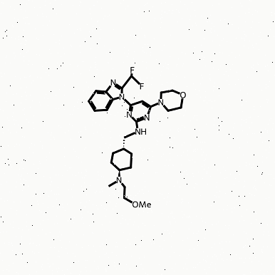 COCCN(C)[C@H]1CC[C@H](CNc2nc(N3CCOCC3)cc(-n3c(C(F)F)nc4ccccc43)n2)CC1